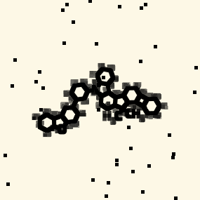 CC1(C)C2CCC3C(C4CCCCC4N3C3CCCC(C4CCC5OC6CCCCC6C5C4)C3)C2C2CCC3C4CCCCC4C3C21